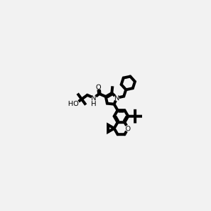 CC1=C(C(=O)NCC(C)(C)O)CC(c2cc(C(C)(C)C)c3c(c2)C2(CCO3)CC2)N1CC1CCCCC1